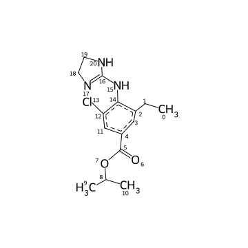 CCc1cc(C(=O)OC(C)C)cc(Cl)c1NC1=NCCN1